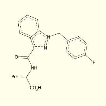 CC(C)[C@H](NC(=O)c1nn(Cc2ccc(F)cc2)c2ccccc12)C(=O)O